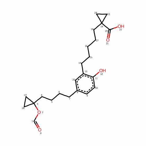 O=COC1(CCCCc2ccc(O)c(CCCCCC3(C(=O)O)CC3)c2)CC1